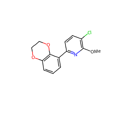 COc1nc(-c2cccc3c2OCCO3)ccc1Cl